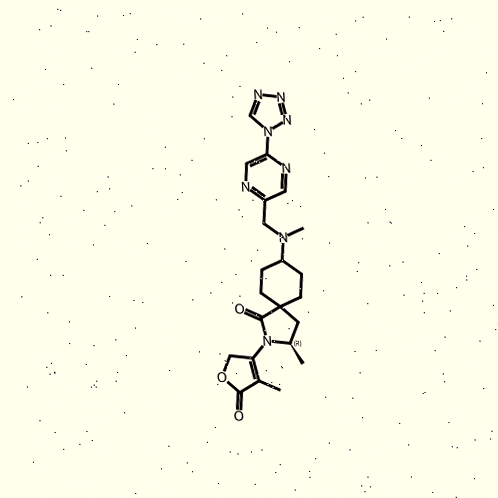 CC1=C(N2C(=O)C3(CCC(N(C)Cc4cnc(-n5cnnn5)cn4)CC3)C[C@H]2C)COC1=O